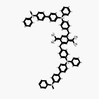 CN(c1ccccc1)c1ccc(-c2ccc(N(c3ccccc3)c3ccc(Cc4cc(=C(C#N)C#N)c(Cc5ccc(N(c6ccccc6)c6ccc(-c7ccc(N(C)c8ccccc8)cc7)cc6)cc5)cc4=C(C#N)C#N)cc3)cc2)cc1